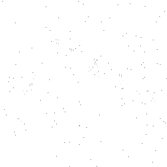 [O]=[Co]=[O].[O]=[Cr](=[O])=[O].[O]=[Mn].[O]=[Mn](=[O])(=[O])(=[O])=[O].[O]=[Mn](=[O])=[O].[O]=[Mo](=[O])=[O].[O]=[Ni](=[O])(=[O])(=[O])=[O].[O]=[Ni]=[O].[O]=[W](=[O])=[O]